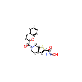 CCC(Oc1ccccc1)C(=O)N1CCc2cc(C(=O)NO)sc2C1